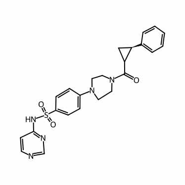 O=C(C1C[C@H]1c1ccccc1)N1CCN(c2ccc(S(=O)(=O)Nc3ccncn3)cc2)CC1